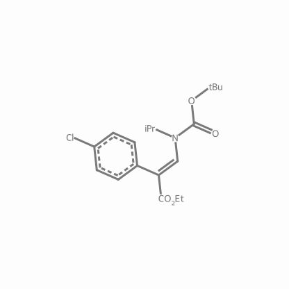 CCOC(=O)/C(=C/N(C(=O)OC(C)(C)C)C(C)C)c1ccc(Cl)cc1